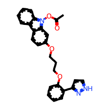 CC(=O)On1c2ccccc2c2ccc(OCCCOc3ccccc3-c3cc[nH]n3)cc21